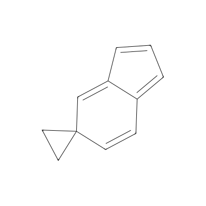 C1=CC2=CC3(C=CC2=C1)CC3